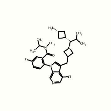 CC(C)C([C@H]1C[C@@H](N)C1)N1CC(Cc2cn(-c3ccc(F)cc3C(=O)N(C)C(C)C)c3cncc(Cl)c23)C1